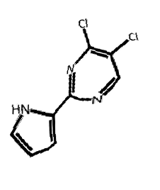 Clc1cnc(-c2ccc[nH]2)nc1Cl